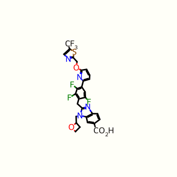 O=C(O)c1ccc2nc(Cc3c(F)cc(-c4cccc(OCc5ncc(C(F)(F)F)s5)n4)c(F)c3F)n(CC3CCO3)c2c1